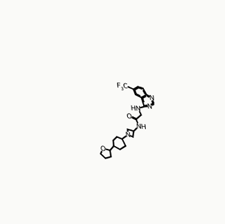 O=C(CNc1ncnc2ccc(C(F)(F)F)cc12)NC1CN(C2CCC(C3CCCO3)CC2)C1